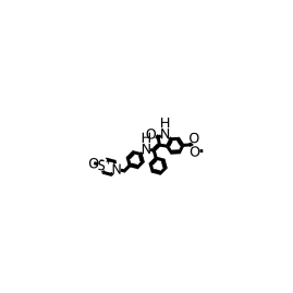 COC(=O)c1ccc2c(c1)NC(=O)/C2=C(\Nc1ccc(CN2CC[S+]([O-])CC2)cc1)c1ccccc1